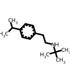 CC(C)c1ccc(CCNC(C)(C)C)cc1